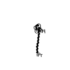 CCC[N+]1([O-])CCOCC1NC(=O)CCCCCCCCCCCCCCC(C)C